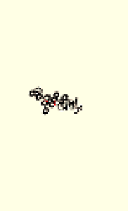 CC1(C)c2ccccc2-c2c(-c3ccccc3N(c3ccc(-c4ccc5c(c4)oc4ccccc45)cc3)c3ccccc3-c3ccccc3-c3ccccc3)cccc21